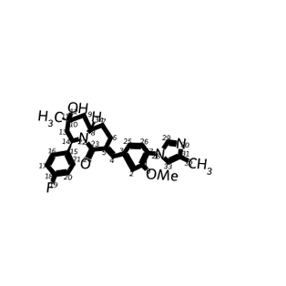 COc1cc(/C=C2\CC[C@H]3C[C@](C)(O)C[C@H](c4ccc(F)cc4)N3C2=O)ccc1-n1cnc(C)c1